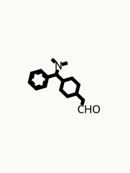 CN(C)C(c1ccccc1)C1CCC(CC=O)CC1